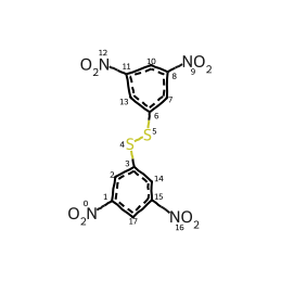 O=[N+]([O-])c1cc(SSc2cc([N+](=O)[O-])cc([N+](=O)[O-])c2)cc([N+](=O)[O-])c1